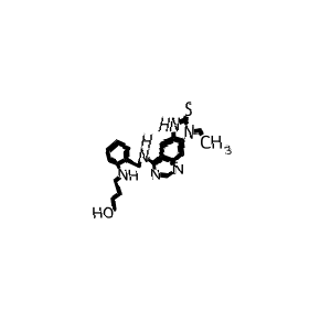 CCn1c(=S)[nH]c2cc3c(NCc4ccccc4NCCCCO)ncnc3cc21